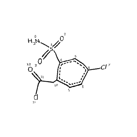 NS(=O)(=O)c1cc(Cl)ccc1C(=O)Cl